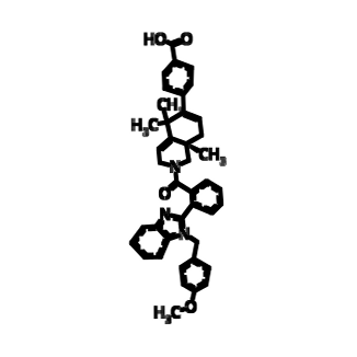 COc1ccc(Cn2c(-c3ccccc3C(=O)N3CC=C4C(C)(C)C(c5ccc(C(=O)O)cc5)=CC[C@]4(C)C3)nc3ccccc32)cc1